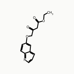 CCOC(=O)CC(=O)COc1ccc2ncccc2c1